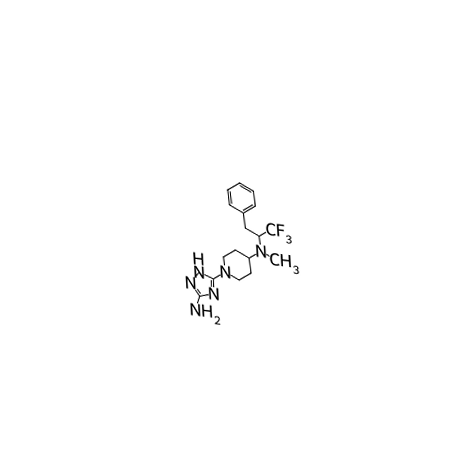 CN(C1CCN(c2nc(N)n[nH]2)CC1)C(Cc1ccccc1)C(F)(F)F